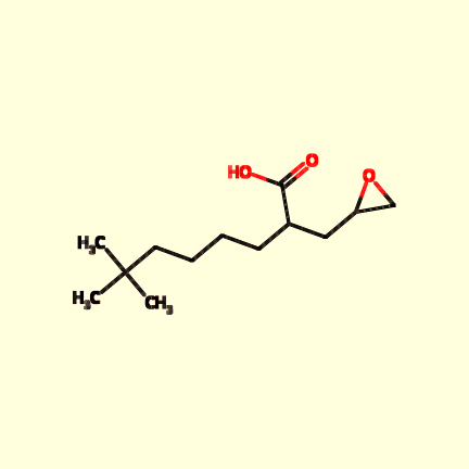 CC(C)(C)CCCCC(CC1CO1)C(=O)O